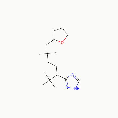 CC(C)(CCC(c1nc[nH]n1)C(C)(C)C)CC1CCCO1